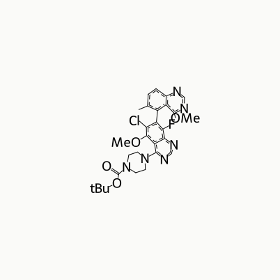 COc1ncnc2ccc(C)c(-c3c(Cl)c(OC)c4c(N5CCN(C(=O)OC(C)(C)C)CC5)ncnc4c3F)c12